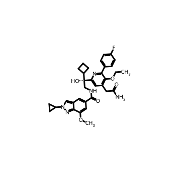 CCOc1c(CC(N)=O)cc([C@@](O)(CNC(=O)c2cc(OC)c3nn(C4CC4)cc3c2)C2CCC2)nc1-c1ccc(F)cc1